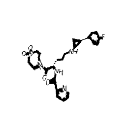 O=C(N[C@@H](CCCN[C@@H]1C[C@H]1c1ccc(F)cc1)C(=O)N1CCS(=O)(=O)CC1)c1ccccn1